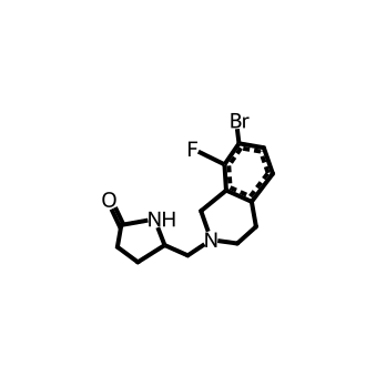 O=C1CCC(CN2CCc3ccc(Br)c(F)c3C2)N1